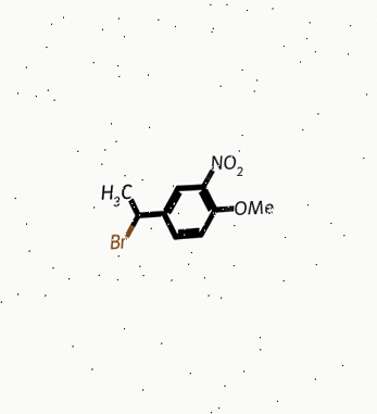 COc1ccc(C(C)Br)cc1[N+](=O)[O-]